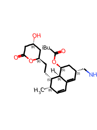 CCC(C)C(=O)O[C@H]1C[C@H](CN)C=C2C=C[C@H](C)[C@H](CC[C@@H]3C[C@@H](O)CC(=O)O3)[C@H]21